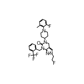 Cc1cccc(F)c1N1CCC(N2Cc3cn(CCF)nc3N(Cc3ccccc3C(F)(F)F)C2=O)CC1